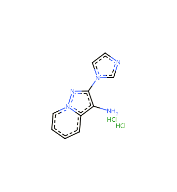 Cl.Cl.Nc1c(-n2ccnc2)nn2ccccc12